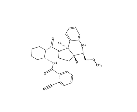 COC[C@@H]1Nc2ccccc2[C@H]2[C@H]1CCN2C(=O)[C@H]1CCCC[C@H]1NC(=O)c1ccccc1C#N